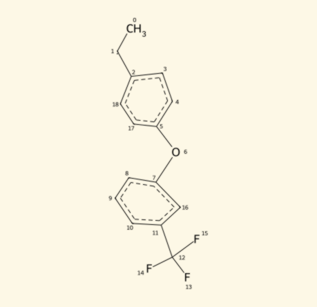 C[CH]c1ccc(Oc2cccc(C(F)(F)F)c2)cc1